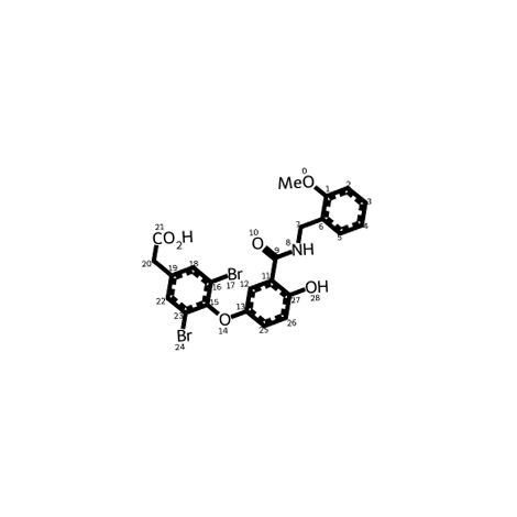 COc1ccccc1CNC(=O)c1cc(Oc2c(Br)cc(CC(=O)O)cc2Br)ccc1O